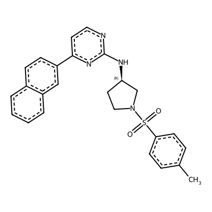 Cc1ccc(S(=O)(=O)N2CC[C@@H](Nc3nccc(-c4ccc5ccccc5c4)n3)C2)cc1